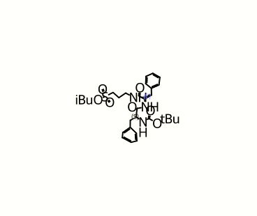 CC(C)COS(=O)(=O)CCCNC(=O)/C(=C\c1ccccc1)NC(=O)[C@H](Cc1ccccc1)NC(=O)OC(C)(C)C